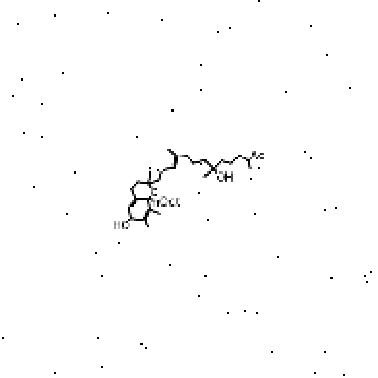 CCCCCCCCC12OC(C)(CC/C=C(\C)CCCC(C)(O)CCCC(C)C(C)=O)CCC1=CC(O)C(C)=C2C